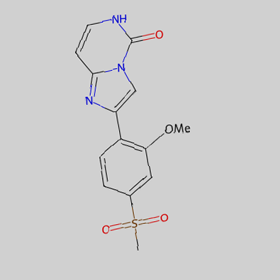 COc1cc(S(C)(=O)=O)ccc1-c1cn2c(=O)[nH]ccc2n1